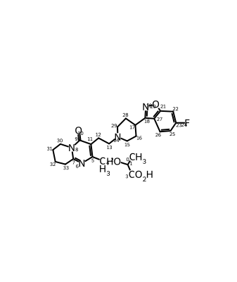 CC(O)C(=O)O.Cc1nc2n(c(=O)c1CCN1CCC(c3noc4cc(F)ccc34)CC1)CCCC2